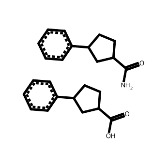 NC(=O)C1CCC(c2ccccc2)C1.O=C(O)C1CCC(c2ccccc2)C1